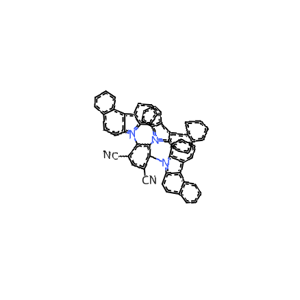 N#Cc1cc(C#N)c(-n2c3ccccc3c3c4ccccc4ccc32)c(-n2c3ccccc3c3c4ccccc4ccc32)c1-n1c2ccccc2c2c3ccccc3ccc21